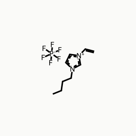 C=C[n+]1ccn(CCCC)c1.F[P-](F)(F)(F)(F)F